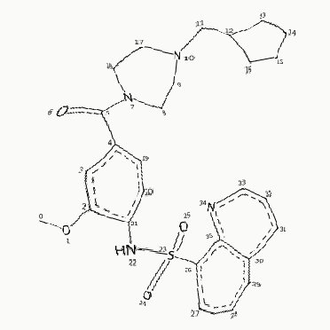 COc1cc(C(=O)N2CCN(CC3CCCC3)CC2)ccc1NS(=O)(=O)c1cccc2cccnc12